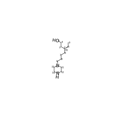 CC[C@H](CCO)CCCCN1CCNCC1